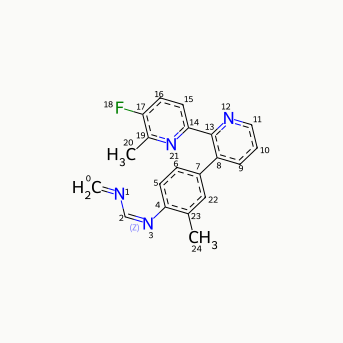 C=N/C=N\c1ccc(-c2cccnc2-c2ccc(F)c(C)n2)cc1C